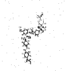 CCN(C1CCC(C(=O)OI)CC1)S(=O)(=O)c1cccc(C(=O)Nc2ccc(OC)cc2C(=O)Nc2ccc(CCc3ccc(C(=O)OI)cc3)cc2)c1